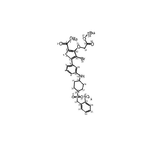 COC(=O)c1sc(-c2cccc(NC3CCN(S(=O)(=O)Cc4ccccc4[N+](=O)[O-])CC3)c2)c(Br)c1OCC(=O)OC(C)(C)C